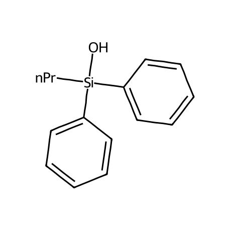 CCC[Si](O)(c1ccccc1)c1ccccc1